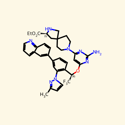 CCOC(=O)[C@@H]1CC2(CCN(c3cc(O[C@H](c4ccc(-c5ccc6ncccc6c5)cc4-n4ccc(C)n4)C(F)(F)F)nc(N)n3)CC2)CN1